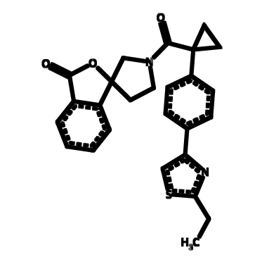 CCc1nc(-c2ccc(C3(C(=O)N4CCC5(C4)OC(=O)c4ccccc45)CC3)cc2)cs1